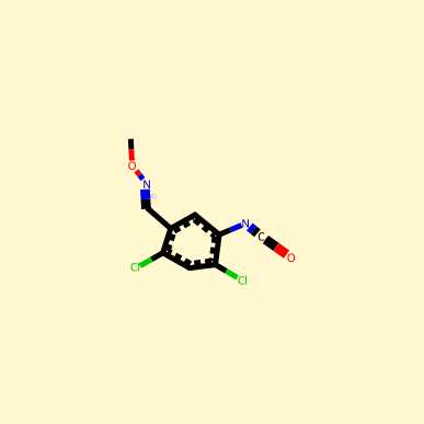 CO/N=C/c1cc(N=C=O)c(Cl)cc1Cl